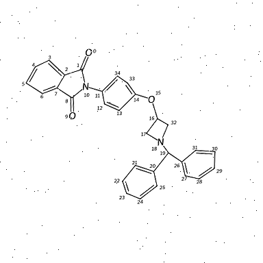 O=C1c2ccccc2C(=O)N1c1ccc(OC2CN(C(c3ccccc3)c3ccccc3)C2)cc1